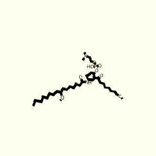 CCCCCCCCCC(=O)c1cc(NC(=O)CCCCCCC(CCCCCCCC)OC)ccc1OP(=O)(O)OCCN(C)C